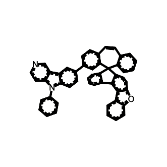 C1=Cc2ccc(-c3ccc4c(c3)c3cnccc3n4-c3ccccc3)cc2C2(c3ccccc31)c1ccccc1-c1c2ccc2oc3ccccc3c12